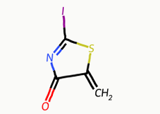 C=C1SC(I)=NC1=O